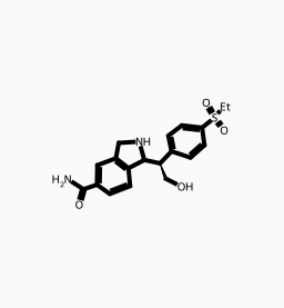 CCS(=O)(=O)c1ccc([C@@H](CO)C2NCc3cc(C(N)=O)ccc32)cc1